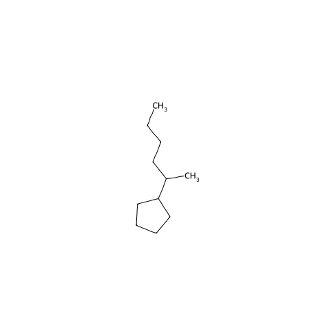 CCCCC(C)C1CCCC1